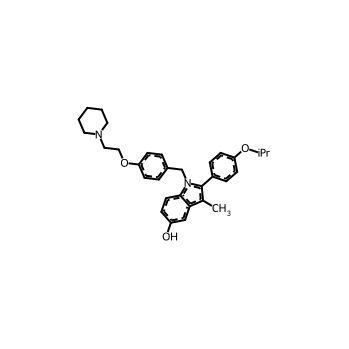 Cc1c(-c2ccc(OC(C)C)cc2)n(Cc2ccc(OCCN3CCCCC3)cc2)c2ccc(O)cc12